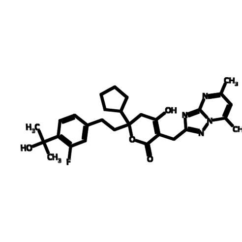 Cc1cc(C)n2nc(CC3=C(O)CC(CCc4ccc(C(C)(C)O)c(F)c4)(C4CCCC4)OC3=O)nc2n1